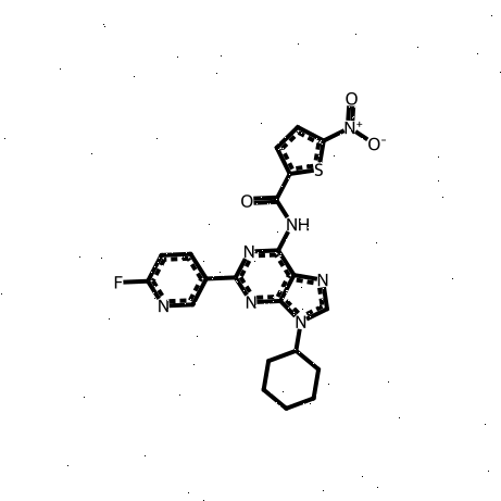 O=C(Nc1nc(-c2ccc(F)nc2)nc2c1ncn2C1CCCCC1)c1ccc([N+](=O)[O-])s1